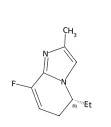 CC[C@@H]1CC=C(F)c2nc(C)cn21